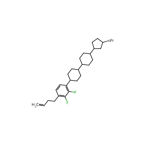 C=CCCc1ccc(C2CCC(C3CCC(C4CCC(CCC)C4)CC3)CC2)c(F)c1F